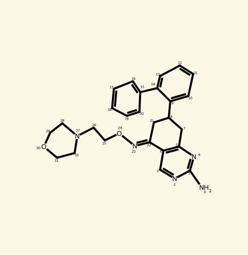 Nc1ncc2c(n1)CC(c1ccccc1-c1ccccc1)C/C2=N\OCCN1CCOCC1